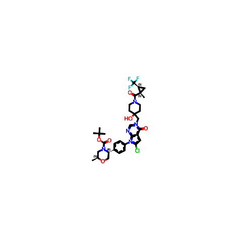 C[C@H]1CN(C(=O)OC(C)(C)C)[C@H](c2ccc(-n3c(Cl)cc4c(=O)n(CC5(O)CCN(C(=O)[C@@]6(C)C[C@@H]6C(F)(F)F)CC5)cnc43)cc2)CO1